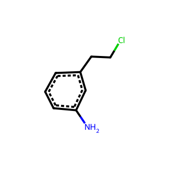 Nc1cccc(CCCl)c1